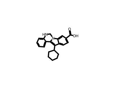 O=C(O)c1ccc2c(C3CCCCC3)c3n(c2c1)CNc1ccccc1-3